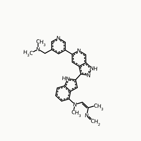 C=N/C(C)=C\N(C)c1cccc2[nH]c(-c3n[nH]c4cnc(-c5cncc(CN(C)C)c5)cc34)cc12